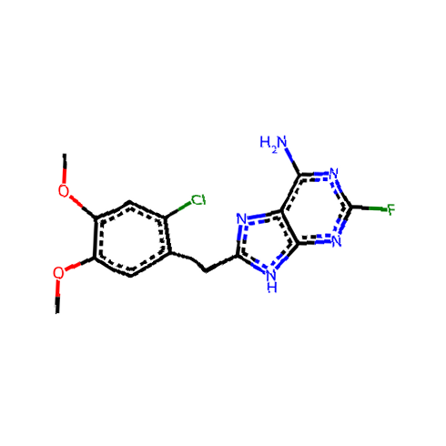 COc1cc(Cl)c(Cc2nc3c(N)nc(F)nc3[nH]2)cc1OC